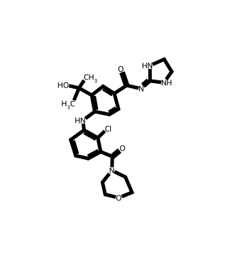 CC(C)(O)c1cc(C(=O)N=C2NCCN2)ccc1Nc1cccc(C(=O)N2CCOCC2)c1Cl